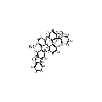 N#Cc1cccc(-c2c(-c3ccc4oc5ccccc5c4c3)cccc2-c2cccc3oc4ccccc4c23)c1